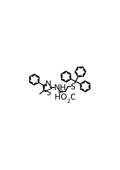 Cc1sc(N[C@@H](CCSC(c2ccccc2)(c2ccccc2)c2ccccc2)C(=O)O)nc1-c1ccccc1